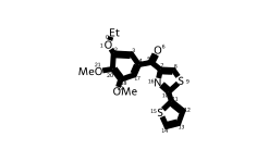 CCOc1cc(C(=O)c2csc(-c3cccs3)n2)cc(OC)c1OC